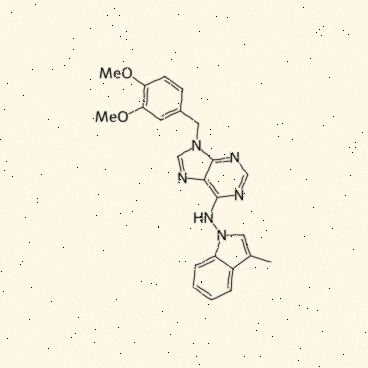 COc1ccc(Cn2cnc3c(Nn4cc(C)c5ccccc54)ncnc32)cc1OC